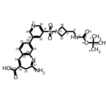 CC(C)(C)OC(=O)NCC1CN(S(=O)(=O)c2cncc(-c3ccc4c(c3)N=C(N)CC(C(=O)O)=C4)c2)C1